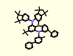 Cc1ccc(-c2ccccc2)cc1N1c2cc(-c3ccccc3)ccc2B2c3cc4c(cc3N(c3ccc5c(c3)C(C)(C)CC5(C)C)c3cc(C(C)(C)C)cc1c32)C(C)(C)CC4(C)C